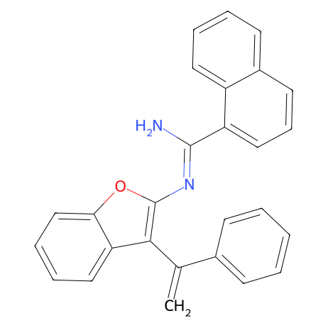 C=C(c1ccccc1)c1c(/N=C(\N)c2cccc3ccccc23)oc2ccccc12